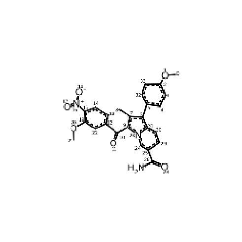 COc1ccc(-c2c(C)c(C(=O)c3ccc([N+](=O)[O-])c(OC)c3)n3cc(C(N)=O)ccc23)cc1